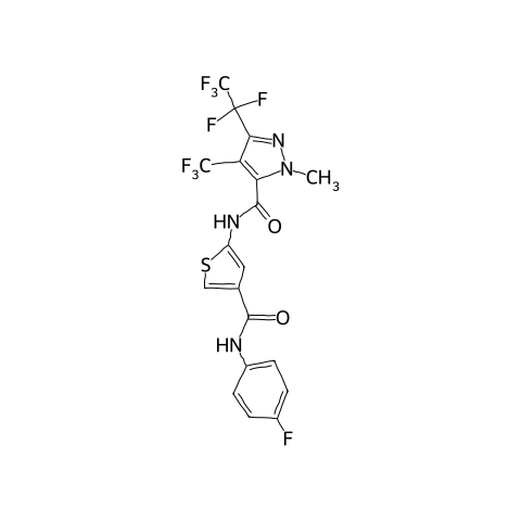 Cn1nc(C(F)(F)C(F)(F)F)c(C(F)(F)F)c1C(=O)Nc1cc(C(=O)Nc2ccc(F)cc2)cs1